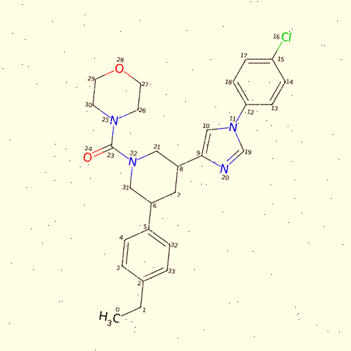 CCc1ccc(C2CC(c3cn(-c4ccc(Cl)cc4)cn3)CN(C(=O)N3CCOCC3)C2)cc1